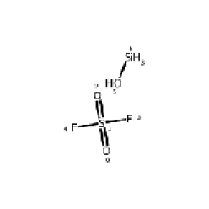 O=S(=O)(F)F.O[SiH3]